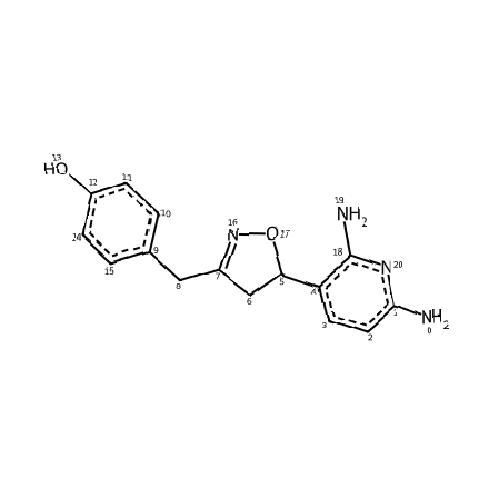 Nc1ccc(C2CC(Cc3ccc(O)cc3)=NO2)c(N)n1